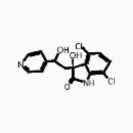 O=C1Nc2c(Cl)ccc(Cl)c2[C@@]1(O)CC(O)c1ccncc1